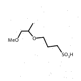 [CH2]C(COC)OCCCS(=O)(=O)O